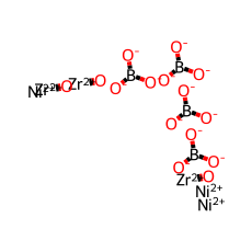 [Ni+2].[Ni+2].[Ni+2].[O-]B([O-])[O-].[O-]B([O-])[O-].[O-]B([O-])[O-].[O-]B([O-])[O-].[O]=[Zr+2].[O]=[Zr+2].[O]=[Zr+2]